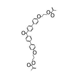 C=C(C)C(=O)OCCCOc1ccc(-c2ccc(C(=O)c3ccc(-c4ccc(OCCCOC(=O)C(=C)C)cc4)cc3)cc2)cc1